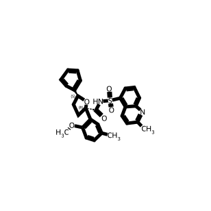 COc1ccc(C)cc1[C@@]1(C(=O)NS(=O)(=O)c2cccc3nc(C)ccc23)CC[C@@H](c2ccccc2)O1